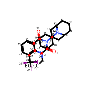 CCOC(=O)Cn1c(=O)n(C2CC3CCCC(C2)N3C2CC3CC(CC(CC(I)(I)I)C3)C2)c(=O)c2ccccc21